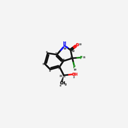 C[C@@H](O)c1cccc2c1C(F)(F)C(=O)N2